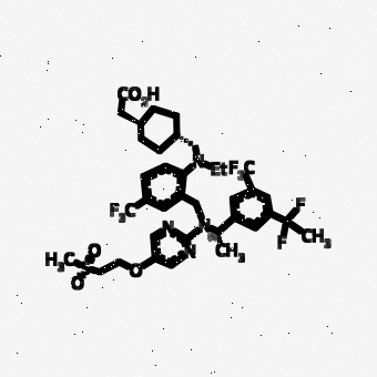 CCN(C[C@H]1CC[C@H](CC(=O)O)CC1)c1ccc(C(F)(F)F)cc1CN(c1ncc(OCCS(C)(=O)=O)cn1)[C@@H](C)c1cc(C(C)(F)F)cc(C(F)(F)F)c1